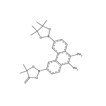 C=C1OB(c2ccc3c(P)c(P)c4ccc(B5OC(C)(C)C(C)(C)O5)cc4c3c2)OC1(C)C